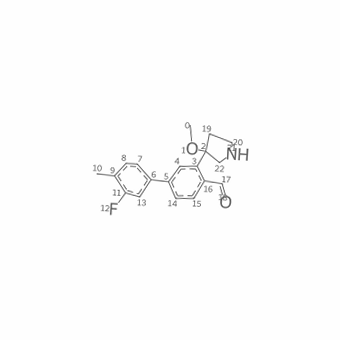 COC1(c2cc(-c3ccc(C)c(F)c3)ccc2C=O)CCNC1